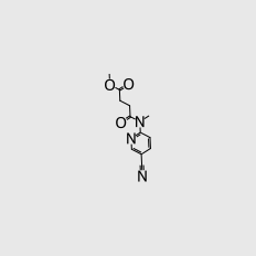 COC(=O)CCC(=O)N(C)c1ccc(C#N)cn1